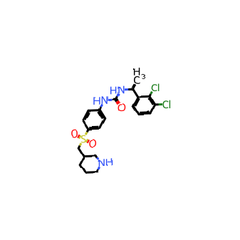 CC(NC(=O)Nc1ccc(S(=O)(=O)CC2CCCNC2)cc1)c1cccc(Cl)c1Cl